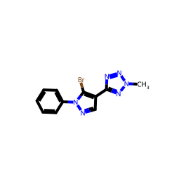 Cn1nnc(-c2cnn(-c3ccccc3)c2Br)n1